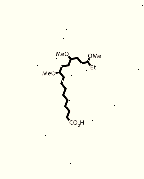 CCC(CCC(CCC(CCCCCCCCC(=O)O)OC)OC)OC